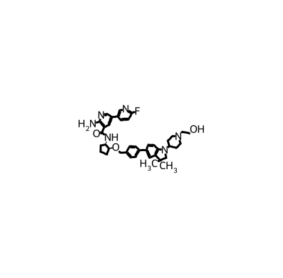 CC1(C)CN(C2CCN(CCO)CC2)c2ccc(-c3ccc(CO[C@H]4CCC[C@@H]4NC(=O)c4cc(-c5ccc(F)nc5)cnc4N)cc3)cc21